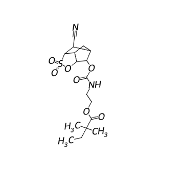 CCC(C)(C)C(=O)OCCNC(=O)OC1C2CC3C1OS(=O)(=O)C3C2C#N